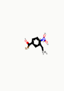 CCc1cc(C(=O)Br)ccc1[N+](=O)[O-]